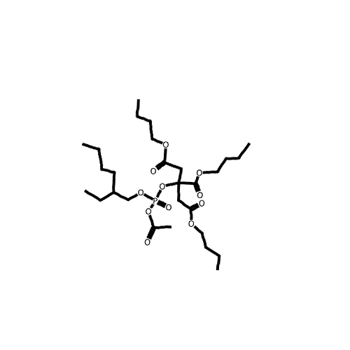 CCCCOC(=O)CC(CC(=O)OCCCC)(OP(=O)(OCC(CC)CCCC)OC(C)=O)C(=O)OCCCC